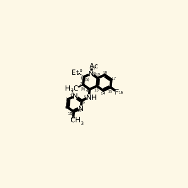 CC[C@H]1[C@H](C)C(Nc2nccc(C)n2)c2cc(F)ccc2N1C(C)=O